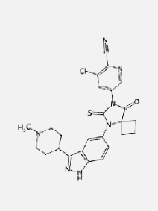 CN1CCC(c2n[nH]c3ccc(N4C(=S)N(c5cnc(C#N)c(Cl)c5)C(=O)C45CCC5)cc23)CC1